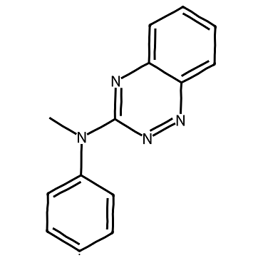 CN(c1cc[c]cc1)c1nnc2ccccc2n1